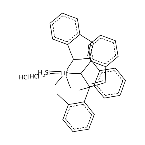 Cc1ccccc1C1=Cc2ccccc2[CH]1[Hf]([CH3])([CH3])(=[SiH2])[CH]1C(c2ccccc2C)=Cc2ccccc21.Cl.Cl